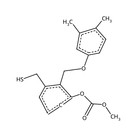 COC(=O)Oc1cccc(CS)c1COc1ccc(C)c(C)c1